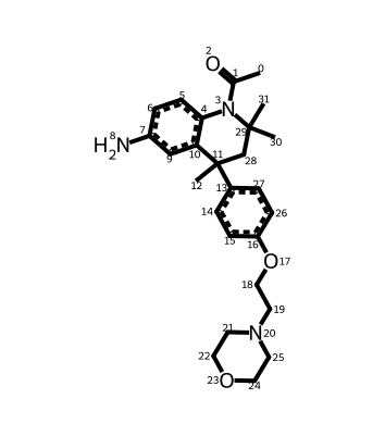 CC(=O)N1c2ccc(N)cc2C(C)(c2ccc(OCCN3CCOCC3)cc2)CC1(C)C